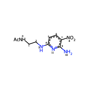 CC(=O)NCCNc1ccc([N+](=O)[O-])c(N)n1